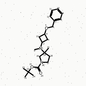 CN(C1CC(OCc2ccccc2)C1)C1(C)CCN(C(=O)OC(C)(C)C)C1